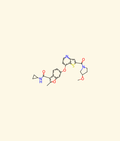 CO[C@@H]1CCN(C(=O)c2cc3nccc(Oc4ccc5c(C(=O)NC6CC6)c(C)oc5c4)c3s2)C1